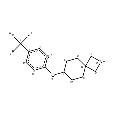 FC(F)(F)c1cnc(OC2CCC3(CC2)CNC3)nc1